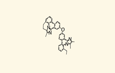 CCc1cccc2c3ccc(Oc4ccc5c(c4)c4nc(C)c6n4c4c(cccc54)CC6)cc3c3nc(C)c(C)n3c12